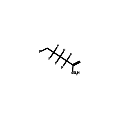 C=C(C(=O)O)C(F)(F)C(F)(F)C(F)(F)CF